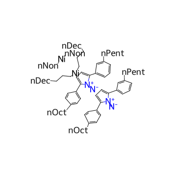 CCCCCCCCCCCC[CH2][Ni][CH2]CCCCCCCCCCCC.CCCCCCCC[CH2][Ni][CH2]CCCCCCCC.CCCCCCCCc1ccc(C2=CC=C(c3cccc(CCCCC)c3)[N+]2=[N-])cc1.CCCCCCCCc1ccc(C2=CC=C(c3cccc(CCCCC)c3)[N+]2=[N-])cc1